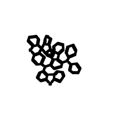 c1ccc(N(c2ccccc2)c2ccc(N(c3ccc4c(c3)C3(c5ccccc5O4)c4ccccc4-c4ccccc43)c3cccc4oc5ccccc5c34)c3oc4ccccc4c23)cc1